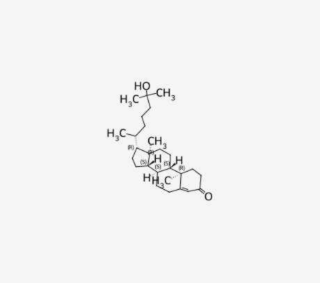 CC(CCCC(C)(C)O)[C@H]1CC[C@H]2[C@@H]3CCC4=CC(=O)CC[C@]4(C)[C@H]3CC[C@]12C